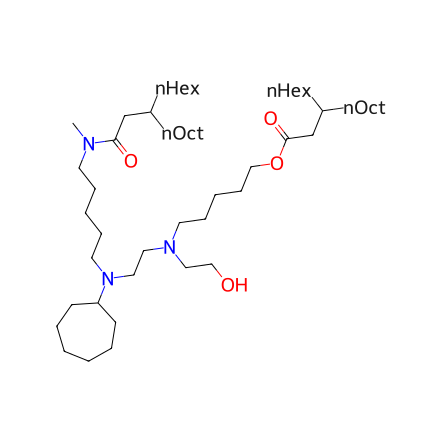 CCCCCCCCC(CCCCCC)CC(=O)OCCCCCN(CCO)CCN(CCCCCN(C)C(=O)CC(CCCCCC)CCCCCCCC)C1CCCCCC1